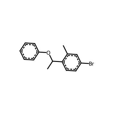 Cc1cc(Br)ccc1C(C)Oc1ccccc1